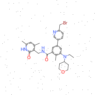 CCN(c1cc(-c2ccc(CBr)nc2)cc(C(=O)NCc2c(C)cc(C)[nH]c2=O)c1C)C1CCOCC1